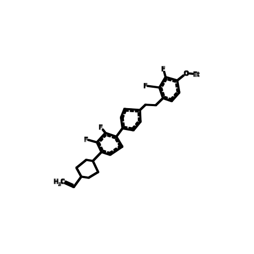 C=CC1CCC(c2ccc(-c3ccc(CCc4ccc(OCC)c(F)c4F)cc3)c(F)c2F)CC1